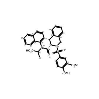 COc1ccc(S(=O)(=O)N2Cc3ccccc3C[C@H]2C(=O)N(c2cccc3ccccc23)C(C)C(=O)O)cc1OC